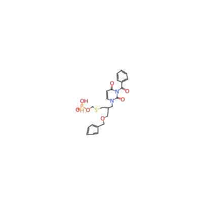 O=C(c1ccccc1)n1c(=O)ccn(CC(COCc2ccccc2)CSCO[PH](=O)O)c1=O